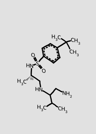 CC(C)C(CN)NC[C@H](C)NS(=O)(=O)c1ccc(C(C)(C)C)cc1